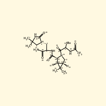 CC1(C)C[C@@H](CC(NC(=O)[C@@H]2[C@@H]3[C@H](CN2C(=O)C(NC(=O)C(F)(F)F)C(C)(C)C)C3(C)C)C(N)=O)C(=O)N1